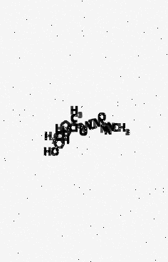 CC(CCC(=O)N1CCN(C(=O)c2cn(C)nn2)CC1)[C@H]1CC[C@H]2[C@@H]3CC=C4C[C@@H](O)CC[C@]4(C)[C@H]3CC[C@]12C